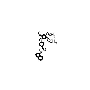 CCc1cc(OC)c(C(=O)OC)cc1OC1CCC(C(=O)OCc2cccc3ccccc23)CC1